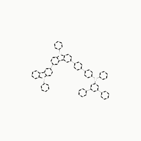 c1ccc(-c2cc(-c3ccccc3)cc(N(c3ccccc3)c3ccc(-c4ccc(-c5ccc6c(c5)c5cc(-c7ccc8c(c7)c7ccccc7n8-c7ccccc7)ccc5n6-c5ccccc5)cc4)cc3)c2)cc1